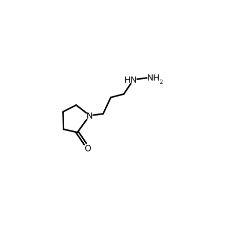 NNCCCN1CCCC1=O